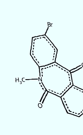 Cn1c(=O)c2ccccc2c(=O)c2cc(Br)ccc21